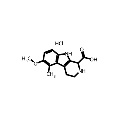 COc1ccc2[nH]c3c(c2c1C)CCNC3C(=O)O.Cl